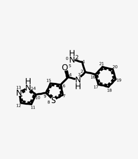 NCC(NC(=O)c1csc(-c2ccn[nH]2)c1)c1ccccc1